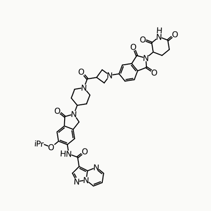 CC(C)Oc1cc2c(cc1NC(=O)c1cnn3cccnc13)CN(C1CCN(C(=O)C3CN(c4ccc5c(c4)C(=O)N(C4CCC(=O)NC4=O)C5=O)C3)CC1)C2=O